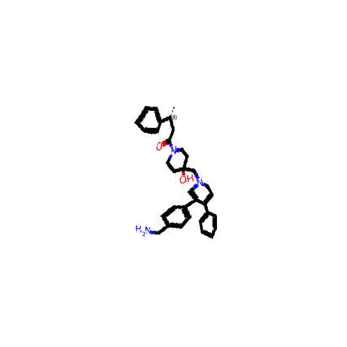 C[C@H](CC(=O)N1CCC(O)(CN2C=C(c3ccc(CN)cc3)C(c3ccccc3)=CC2)CC1)c1ccccc1